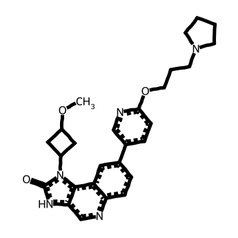 COC1CC(n2c(=O)[nH]c3cnc4ccc(-c5ccc(OCCCN6CCCC6)nc5)cc4c32)C1